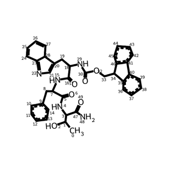 CC(O)C(NC(=O)C(Cc1ccccc1)NC(=O)C(CC1=CN=C2C=CC=CC12)NC(=O)OCC1c2ccccc2-c2ccccc21)C(N)=O